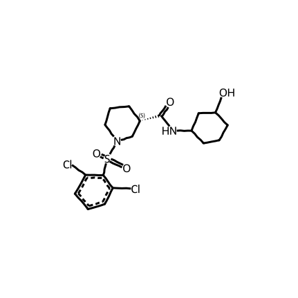 O=C(NC1CCCC(O)C1)[C@H]1CCCN(S(=O)(=O)c2c(Cl)cccc2Cl)C1